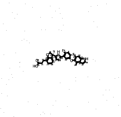 Cc1c(Oc2ccc(F)c(-c3ncc([C@]4(C)COc5c(CCC(=O)O)cccc54)[nH]3)c2)c(F)cc2[nH]ccc12